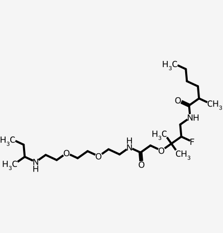 CCCCC(C)C(=O)NCC(F)C(C)(C)OCC(=O)NCCOCCOCCNC(C)CC